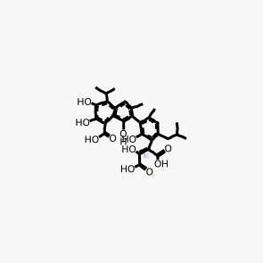 Cc1cc(CC(C)C)c(/C(C(=O)O)=C(\O)C(=O)O)c(O)c1-c1c(C)cc2c(C(C)C)c(O)c(O)c(C(=O)O)c2c1O